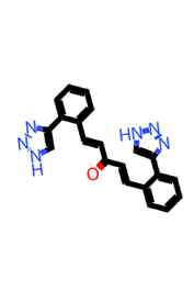 O=C(/C=C/c1ccccc1-c1c[nH]nn1)/C=C/c1ccccc1-c1c[nH]nn1